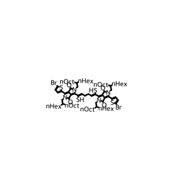 CCCCCCCCC(CCCCCC)CN1C(=O)C2=C(c3ccc(Br)s3)N(CC(CCCCCC)CCCCCCCC)C(=O)C2=C1/C(S)=C/CC/C=C(\S)C1=C2C(=O)N(CC(CCCCCC)CCCCCCCC)C(c3ccc(Br)s3)=C2C(=O)N1CC(CCCCCC)CCCCCCCC